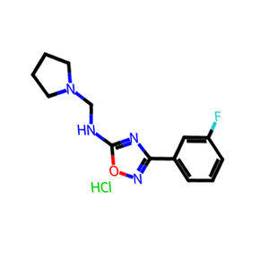 Cl.Fc1cccc(-c2noc(NCN3CCCC3)n2)c1